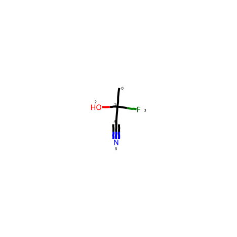 CC(O)(F)C#N